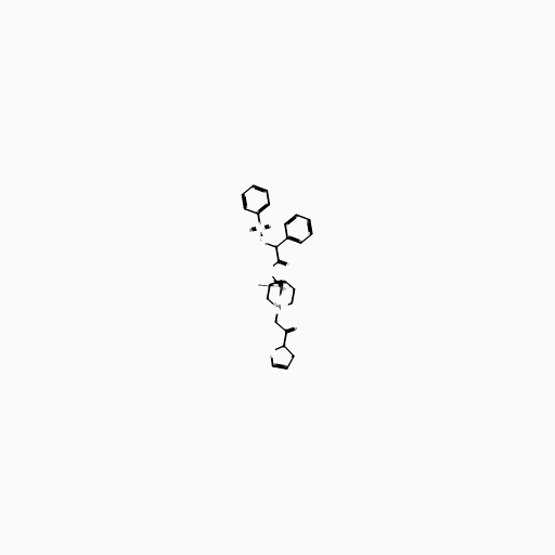 O=C(C[N+]12CCC(CC1)[C@@H](OC(=O)C(NS(=O)(=O)c1ccccc1)c1ccccc1)C2)C1CC=CS1